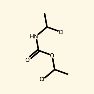 CC(Cl)NC(=O)OC(C)Cl